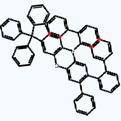 c1ccc(-c2ccccc2-c2cc3c(cc2-c2ccccc2)Oc2cc4c(cc2N3c2ccccc2-c2ccccc2)-c2ccccc2C4(c2ccccc2)c2ccccc2)cc1